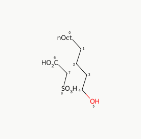 CCCCCCCCCCCCO.O=C(O)CS(=O)(=O)O